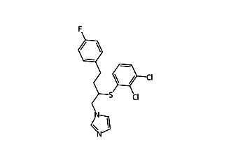 Fc1ccc(CCC(Cn2ccnc2)Sc2cccc(Cl)c2Cl)cc1